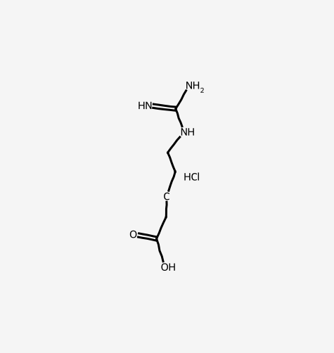 Cl.N=C(N)NCCCCC(=O)O